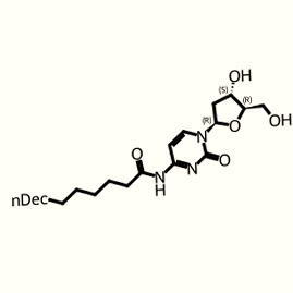 CCCCCCCCCCCCCCCC(=O)Nc1ccn([C@H]2C[C@H](O)[C@@H](CO)O2)c(=O)n1